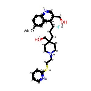 COc1ccc2ncc(CO)c([C@H](F)CCC3(CO)CCN(CCSc4ccccn4)CC3)c2c1